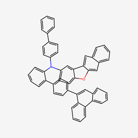 c1ccc(-c2ccc(N(c3ccc4oc5cc6ccccc6cc5c4c3)c3ccccc3-c3ccc(-c4cc5ccccc5c5ccccc45)cc3)cc2)cc1